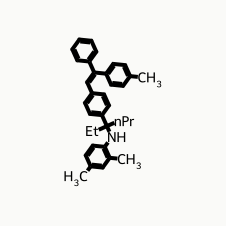 CCCC(CC)(Nc1ccc(C)cc1C)c1ccc(/C=C(/c2ccccc2)c2ccc(C)cc2)cc1